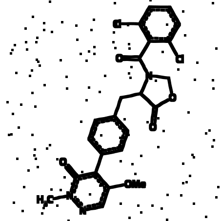 COc1cnn(C)c(=O)c1-c1ccc(CC2C(=O)OCN2C(=O)c2c(Cl)cccc2Cl)cc1